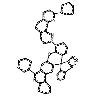 c1ccc(-c2ccc3ccc4ccc(-c5cccc6c5Oc5cc7c(-c8ccccc8)nc8ccccc8c7cc5C65c6ccccc6-c6ccccc65)nc4c3n2)cc1